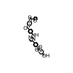 O=C(c1ccc(Nc2nccc(-c3ccc(S(=O)(=O)N4CCC(O)CC4)cc3)n2)cc1)N1CCN(C(=O)c2ccco2)CC1